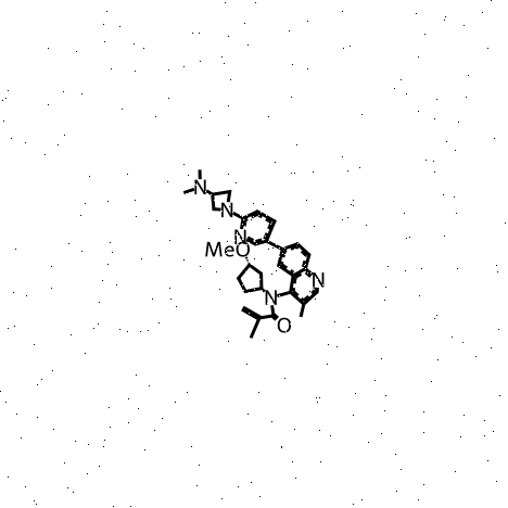 C=C(C)C(=O)N(c1c(C)cnc2ccc(-c3ccc(N4CC(N(C)C)C4)nc3)cc12)[C@H]1CC[C@H](OC)C1